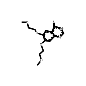 COCCOc1cc2nc[nH]c(=S)c2cc1OCCOC